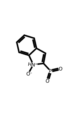 O=P(=O)C1=Cc2ccccc2[NH+]1[O-]